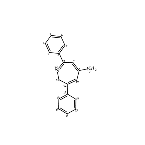 NC1=CC(c2ccccc2)=NCC(c2ccccc2)=C1